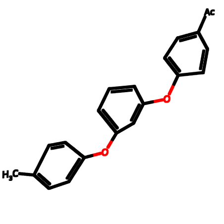 CC(=O)c1ccc(Oc2cccc(Oc3ccc(C)cc3)c2)cc1